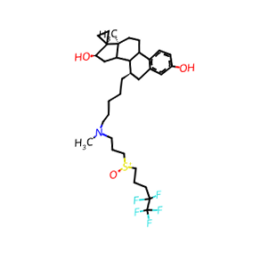 CN(CCCCC[C@@H]1Cc2cc(O)ccc2C2CC[C@@]3(C)C(C[C@@H](O)C34CC4)C21)CCC[S+]([O-])CCCC(F)(F)C(F)(F)F